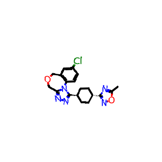 Cc1nc([C@H]2CC[C@H](c3nnc4n3-c3ccc(Cl)cc3COC4)CC2)no1